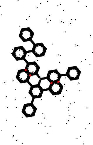 c1ccc(-c2ccc(N(c3ccc(-c4ccccc4-c4ccccc4-c4ccccc4)cc3)c3c(-c4ccccc4)cc(-c4ccccc4)cc3-c3ccccc3)cc2)cc1